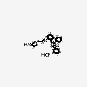 Cl.O=S(=O)(c1ccccc1)N(Cc1ccccc1OCCCN1CCC(O)C1)c1ccccc1